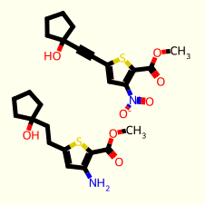 COC(=O)c1sc(C#CC2(O)CCCC2)cc1[N+](=O)[O-].COC(=O)c1sc(CCC2(O)CCCC2)cc1N